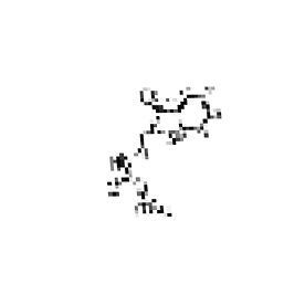 CC(C)(C)OC(=O)NCCn1sc2ccccc2c1=O